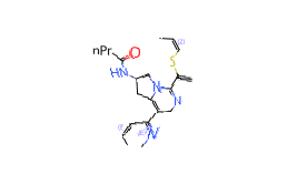 C=C(S/C=C\C)C1=NCC(C(/C=C\C)=N/C)=C2CC(NC(=O)CCC)CN12